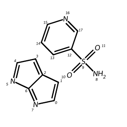 C1=CC2=CC=NC2=N1.NS(=O)(=O)c1cccnc1